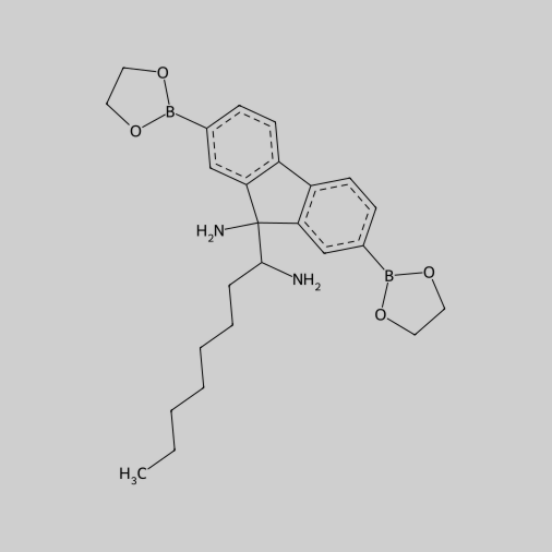 CCCCCCCC(N)C1(N)c2cc(B3OCCO3)ccc2-c2ccc(B3OCCO3)cc21